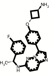 C[C@@H](Nc1ccc2ncc(-c3ccc(O[C@H]4C[C@H](N)C4)cc3)n2n1)c1cccc(F)c1